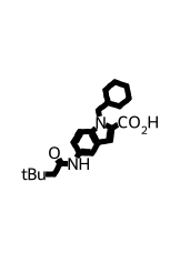 CC(C)(C)CC(=O)Nc1ccc2c(c1)cc(C(=O)O)n2CC1CCCCC1